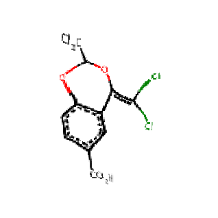 O=C(O)c1ccc2c(c1)C(=C(Cl)Cl)OC(C(Cl)(Cl)Cl)O2